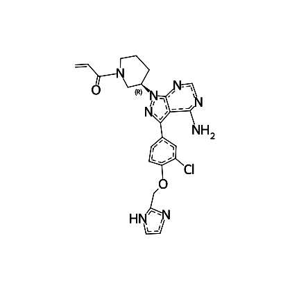 C=CC(=O)N1CCC[C@@H](n2nc(-c3ccc(OCc4ncc[nH]4)c(Cl)c3)c3c(N)ncnc32)C1